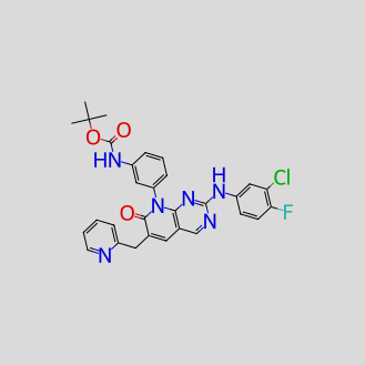 CC(C)(C)OC(=O)Nc1cccc(-n2c(=O)c(Cc3ccccn3)cc3cnc(Nc4ccc(F)c(Cl)c4)nc32)c1